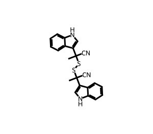 CC(C#N)(SSC(C)(C#N)c1c[nH]c2ccccc12)c1c[nH]c2ccccc12